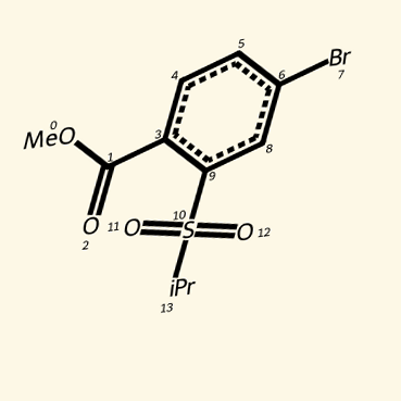 COC(=O)c1ccc(Br)cc1S(=O)(=O)C(C)C